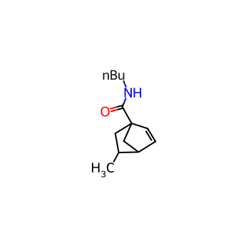 CCCCNC(=O)C12C=CC(C1)C(C)C2